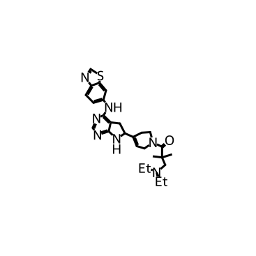 CCN(CC)CC(C)(C)C(=O)N1CC=C(C2Cc3c(Nc4ccc5ncsc5c4)ncnc3N2)CC1